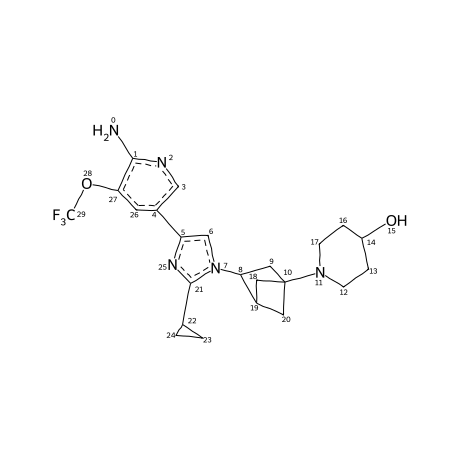 Nc1ncc(-c2cn(C3CC4(N5CCC(O)CC5)CC3C4)c(C3CC3)n2)cc1OC(F)(F)F